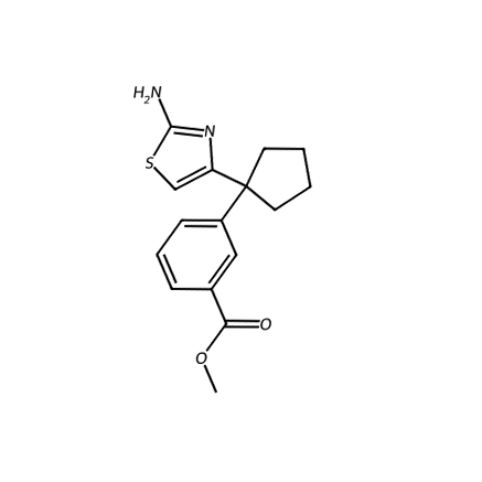 COC(=O)c1cccc(C2(c3csc(N)n3)CCCC2)c1